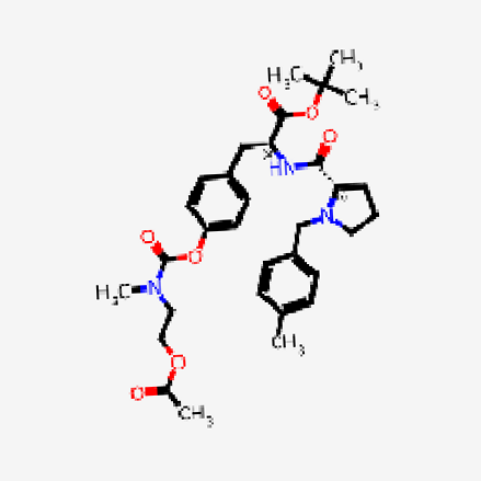 CC(=O)OCCN(C)C(=O)Oc1ccc(C[C@H](NC(=O)[C@@H]2CCCN2Cc2ccc(C)cc2)C(=O)OC(C)(C)C)cc1